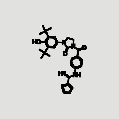 CC(C)(C)c1cc(N2CCN(C(=O)c3ccc(NC(=N)c4cccs4)cc3)C2=O)cc(C(C)(C)C)c1O